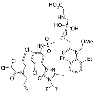 C=CCN(CC=C)C(=O)C(Cl)Cl.CCc1cccc(CC)c1N(COC)C(=O)CCl.Cc1nn(-c2cc(NS(C)(=O)=O)c(Cl)cc2Cl)c(=O)n1C(F)F.O=C(O)CNCP(=O)(O)O